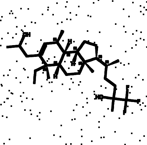 CC[C@@]1(C)C(CC(C)O)=C[C@@H](C)[C@H]2[C@@H]3CC[C@H]([C@H](C)CCC(C)(O)C(F)(F)F)[C@@]3(C)CC[C@@H]21